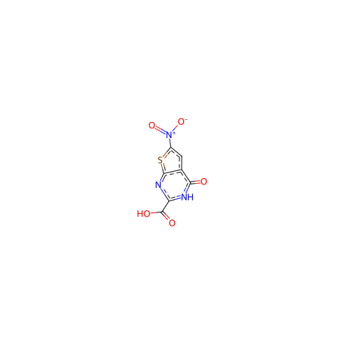 O=C(O)c1nc2sc([N+](=O)[O-])cc2c(=O)[nH]1